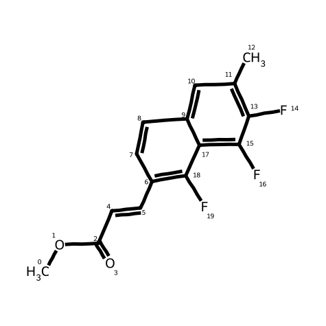 COC(=O)/C=C/c1ccc2cc(C)c(F)c(F)c2c1F